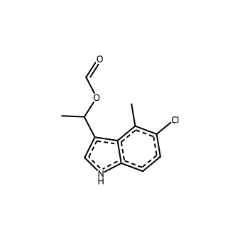 Cc1c(Cl)ccc2[nH]cc(C(C)OC=O)c12